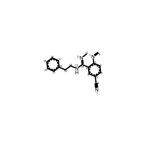 C=Nc1ccc(C#N)cc1/C(=N\C)NCCc1ccccc1